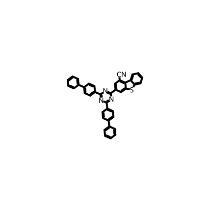 N#Cc1cc(-c2nc(-c3ccc(-c4ccccc4)cc3)nc(-c3ccc(-c4ccccc4)cc3)n2)cc2sc3ccccc3c12